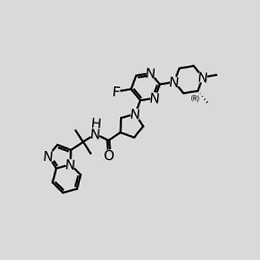 C[C@@H]1CN(c2ncc(F)c(N3CCC(C(=O)NC(C)(C)c4cnc5ccccn45)C3)n2)CCN1C